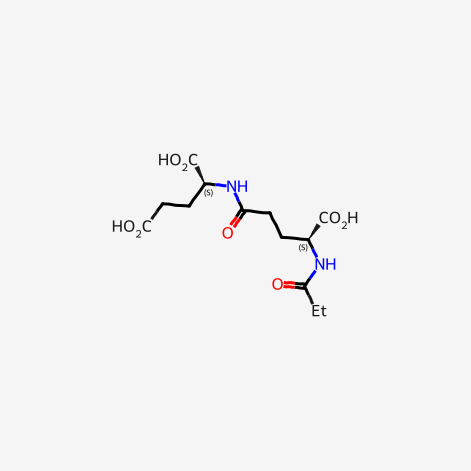 CCC(=O)N[C@@H](CCC(=O)N[C@@H](CCC(=O)O)C(=O)O)C(=O)O